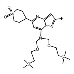 C[Si](C)(C)CCOCN(COCC[Si](C)(C)C)c1cc(C2CCS(=O)(=O)CC2)nc2cc(F)nn12